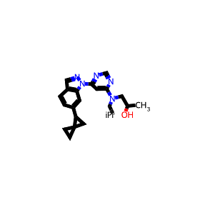 CC(C)CN(CC(C)O)c1cc(-n2ncc3ccc(C4CC45CC5)cc32)ncn1